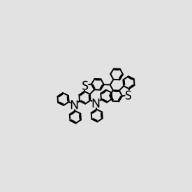 C1=CCC(C(c2ccc3sc4cc(N(c5ccccc5)c5ccccc5)cc(N(c5ccccc5)c5ccccc5)c4c3c2)c2cccc3sc4ccccc4c23)C=C1